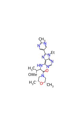 CCn1c(-c2cnc(C)nc2)nc2c(NC(C(=O)N3C[C@@H](C)O[C@@H](C)C3)C(C)OC)ncnc21